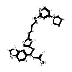 O=C(O)C[C@H](Cc1csc(CCCCNc2cc(N3CCCC3)ccn2)n1)c1ccc2c(c1)OCO2